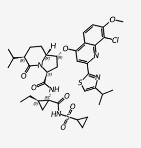 CC[C@@H]1C[C@]1(NC(=O)[C@@H]1C[C@@H](Oc2cc(-c3nc(C(C)C)cs3)nc3c(Cl)c(OC)ccc23)[C@H]2CC[C@H](C(C)C)C(=O)N21)C(=O)NS(=O)(=O)C1CC1